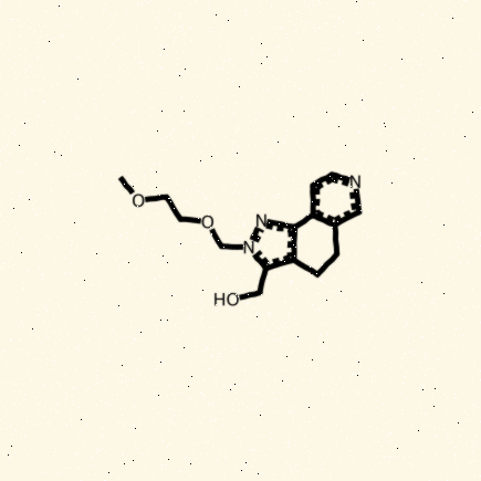 COCCOCn1nc2c(c1CO)CCc1cnccc1-2